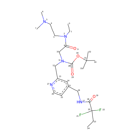 CCN(CCN(C)C)C(=O)CN(Cc1cc(CNC(=O)C(F)(F)CC)ccn1)C(=O)OC(C)(C)C